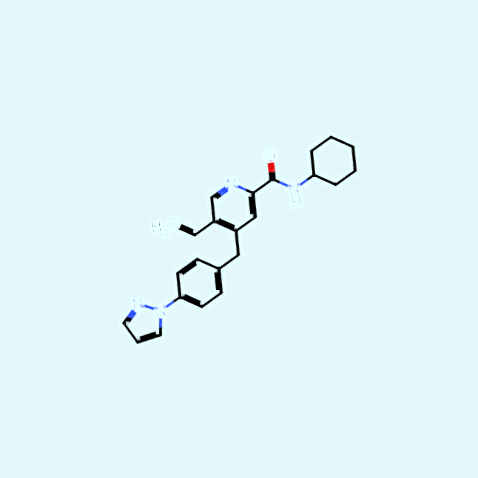 C=Cc1cnc(C(=O)NC2CCCCC2)cc1Cc1ccc(-n2cccn2)cc1